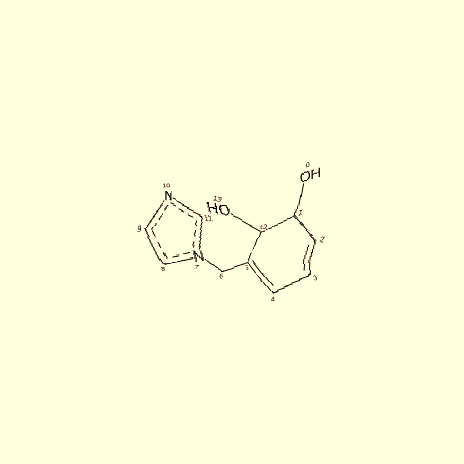 OC1C=CC=C(Cn2ccnc2)C1O